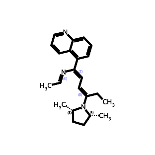 C/C=N/C(=C\C=C(/CC)N1[C@H](C)CC[C@@H]1C)c1cccc2ncccc12